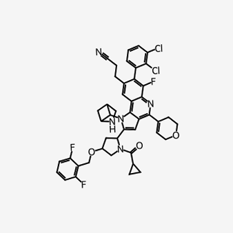 N#CCCc1cc2c(nc(C3=CCOCC3)c3cc(C4CC(OCc5c(F)cccc5F)CN4C(=O)C4CC4)n(C4C5CNC4C5)c32)c(F)c1-c1cccc(Cl)c1Cl